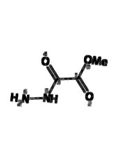 COC(=O)C(=O)NN